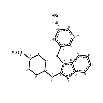 Br.Br.CCOC(=O)N1CCC(Nc2nc3ccccc3n2Cc2cnccn2)CC1